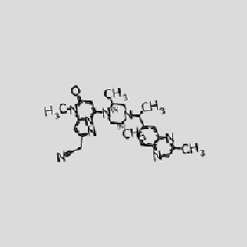 Cc1cnc2ccc(C(C)N3C[C@H](C)N(c4cc(=O)n(C)c5cc(CC#N)nn45)C[C@H]3C)cc2n1